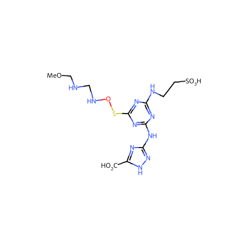 COCNCNOSc1nc(NCCS(=O)(=O)O)nc(Nc2n[nH]c(C(=O)O)n2)n1